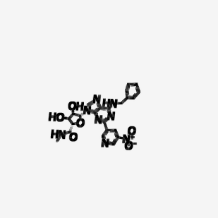 CNC(=O)[C@H]1O[C@@H](n2cnc3c(NCc4ccccc4)nc(-c4cncc([N+](=O)[O-])c4)nc32)[C@H](O)[C@@H]1O